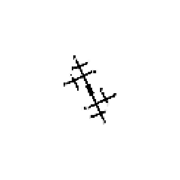 OC(C#CC(O)(C(F)(F)F)C(F)(F)F)(C(F)(F)F)C(F)(F)F